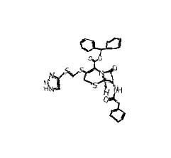 O=C(Cc1ccccc1)N[C@@H]1C(=O)N2C(C(=O)OC(c3ccccc3)c3ccccc3)=C(SCSc3c[nH]nn3)CS[C@@H]12